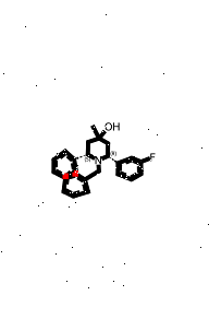 CC1(O)C[C@H](c2cccc(F)c2)N(Cc2ccccc2)[C@H](c2ccccc2)C1